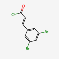 O=C(Cl)/C=C/c1cc(Br)cc(Br)c1